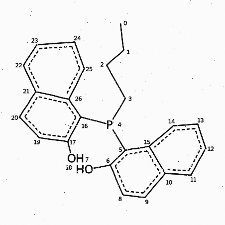 CCCCP(c1c(O)ccc2ccccc12)c1c(O)ccc2ccccc12